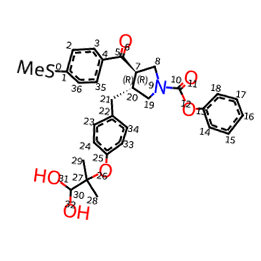 CSc1ccc(C(=O)[C@H]2CN(C(=O)Oc3ccccc3)C[C@@H]2Cc2ccc(OC(C)(C)C(O)O)cc2)cc1